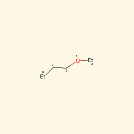 [CH2]CCCOCC